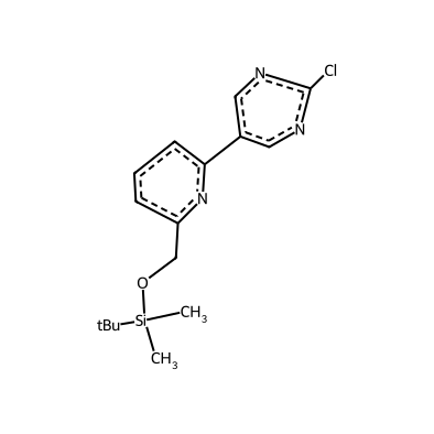 CC(C)(C)[Si](C)(C)OCc1cccc(-c2cnc(Cl)nc2)n1